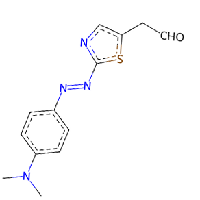 CN(C)c1ccc(N=Nc2ncc(CC=O)s2)cc1